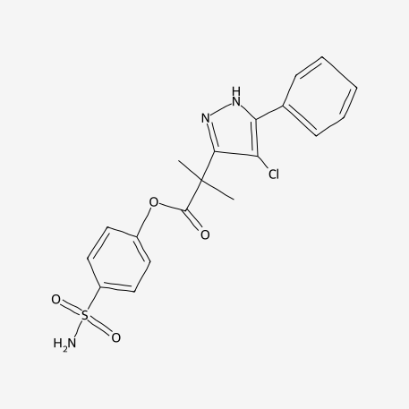 CC(C)(C(=O)Oc1ccc(S(N)(=O)=O)cc1)c1n[nH]c(-c2ccccc2)c1Cl